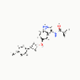 C=C(CC)C(=O)Nc1c[nH]c2ccc(O[C@H]3C[C@H](c4ccc(C(F)(F)F)cc4)C3)cc12